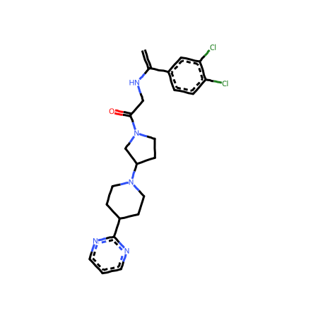 C=C(NCC(=O)N1CCC(N2CCC(c3ncccn3)CC2)C1)c1ccc(Cl)c(Cl)c1